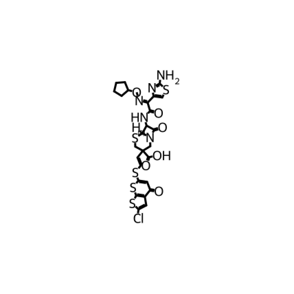 Nc1nc(C(=NOC2CCCC2)C(=O)NC2C(=O)N3CC(C=CSc4cc(=O)c5cc(Cl)sc5s4)(C(=O)O)CS[C@H]23)cs1